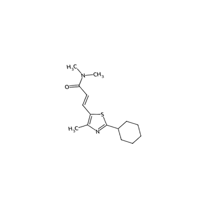 Cc1nc(C2CCCCC2)sc1C=CC(=O)N(C)C